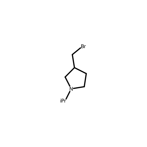 CC(C)N1CCC(CBr)C1